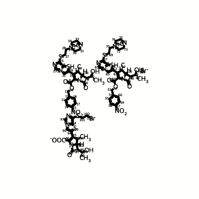 C[C@@H](O)[C@H]1C(=O)N2C(C(=O)OCc3ccc([N+](=O)[O-])cc3)=C(c3cn4cnc(SCC[N+]56CCN(CC5)CC6)c4s3)[C@H](C)[C@H]12.C[C@@H](O)[C@H]1C(=O)N2C(C(=O)OCc3ccc([N+](=O)[O-])cc3)=C(c3cn4cnc(SCC[N+]56CCN(CC5)CC6)c4s3)[C@H](C)[C@H]12.C[C@@H](O)[C@H]1C(=O)N2C(C(=O)[O-])=C(c3cn4cnc(SCCBr)c4s3)[C@H](C)[C@H]12.[Br-]